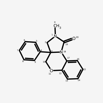 CN1CC2(c3ccccc3)COc3ccccc3N2C1=O